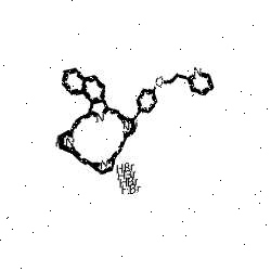 Br.Br.Br.Br.C1=Cc2cc3cc(-c4ccc(OCCc5ccccn5)cc4)c(cc4nc(cc5ccc(cc1n2)[nH]5)-c1c-4ccc2ccccc12)[nH]3